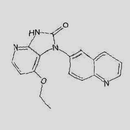 CCOc1ccnc2[nH]c(=O)n(-c3ccc4ncccc4c3)c12